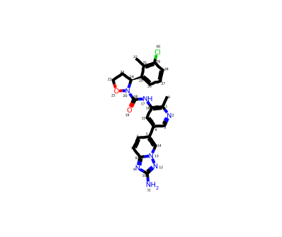 Cc1ncc(-c2ccc3nc(N)nn3c2)cc1NC(=O)N1OCC[C@H]1c1cccc(Cl)c1C